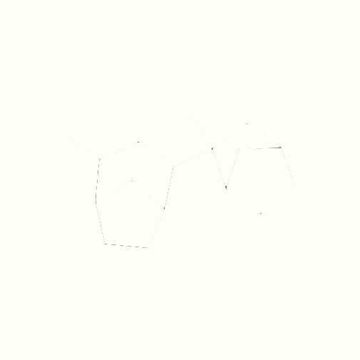 CC1CC(C2(C)CC3CCC2C3)C2CCC1C2